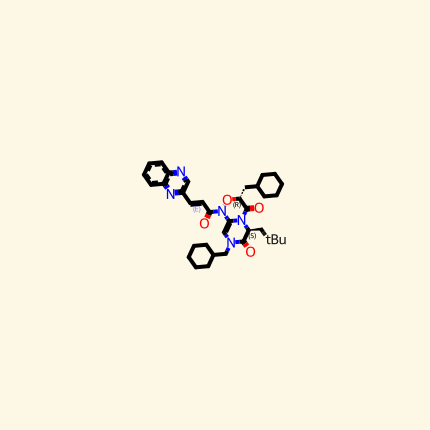 CC(C)(C)C[C@H]1C(=O)N(CC2CCCCC2)C=C2N(C(=O)/C=C/c3cnc4ccccc4n3)O[C@H](CC3CCCCC3)C(=O)N21